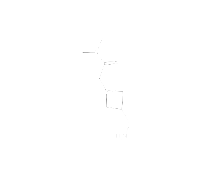 CN(C)C(=O)CN1CC(SN)C1